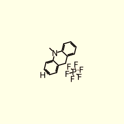 CN1c2ccccc2Cc2ccccc21.F[P-](F)(F)(F)(F)F.[H+]